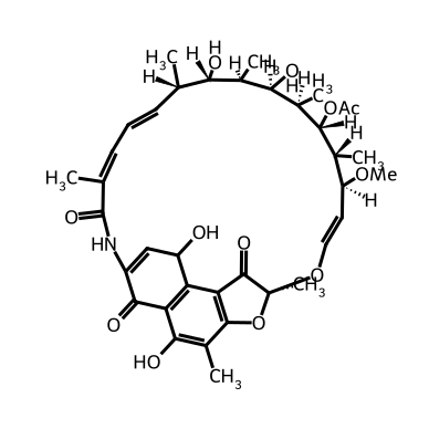 CO[C@H]1/C=C/O[C@@]2(C)Oc3c(C)c(O)c4c(c3C2=O)C(O)C=C(NC(=O)/C(C)=C\C=C\[C@H](C)[C@H](O)[C@@H](C)[C@@H](O)[C@@H](C)[C@H](OC(C)=O)[C@@H]1C)C4=O